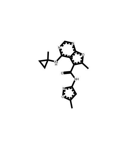 Cc1cc(NC(=O)c2c(C)oc3ncnc([AsH]C4(C)CC4)c23)no1